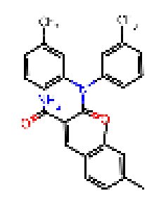 Cc1ccc(C=C(C(N)=O)C(=O)N(c2cccc(C(F)(F)F)c2)c2cccc(C(F)(F)F)c2)c(C)c1